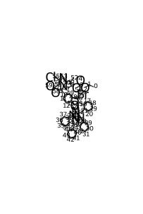 CCOC(=O)OCC[N+]1(Cc2ccc3oc(-c4ccccc4-c4nnn(C(c5ccccc5)(c5ccccc5)c5ccccc5)n4)c(Br)c3c2)C(CC)=NC(Cl)=C1C(=O)[O-]